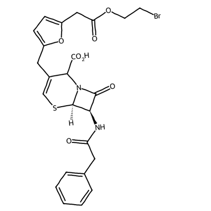 O=C(Cc1ccccc1)N[C@@H]1C(=O)N2C(C(=O)O)C(Cc3ccc(CC(=O)OCCBr)o3)=CS[C@H]12